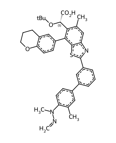 C=NN(C)c1ccc(-c2cccc(-c3nc4cc(C)c([C@H](OC(C)(C)C)C(=O)O)c(-c5ccc6c(c5)CCCO6)c4s3)c2)cc1C